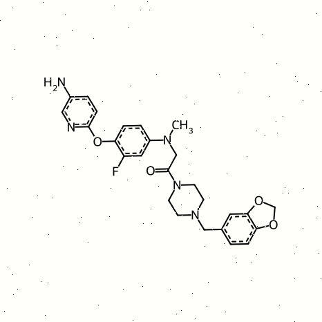 CN(CC(=O)N1CCN(Cc2ccc3c(c2)OCO3)CC1)c1ccc(Oc2ccc(N)cn2)c(F)c1